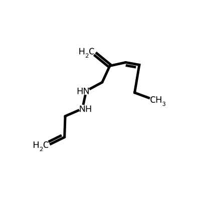 C=CCNNCC(=C)/C=C\CC